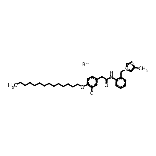 CCCCCCCCCCCCCCOc1ccc(CC(=O)Nc2ccccc2C[n+]2csc(C)c2)cc1Cl.[Br-]